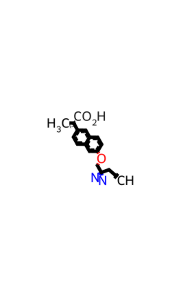 C#CCC1(COc2ccc3cc([C@H](C)C(=O)O)ccc3c2)N=N1